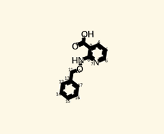 O=C(O)c1cccnc1NOCc1ccccc1